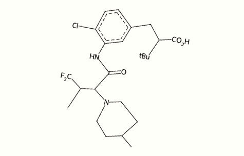 CC1CCN(C(C(=O)Nc2cc(CC(C(=O)O)C(C)(C)C)ccc2Cl)C(C)C(F)(F)F)CC1